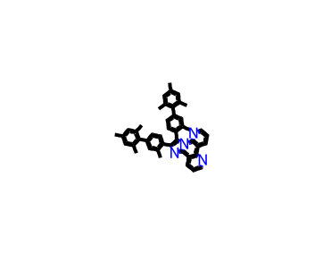 Cc1cc(C)c(-c2ccc(-c3nc4c5cccnc5c5cccnc5n4c3-c3ccc(-c4c(C)cc(C)cc4C)cc3C)c(C)c2)c(C)c1